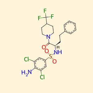 Nc1c(Cl)cc(S(=O)(=O)N[C@H](CCc2ccccc2)C(=O)N2CCC(C(F)(F)F)CC2)cc1Cl